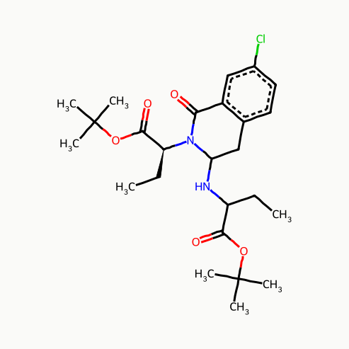 CCC(NC1Cc2ccc(Cl)cc2C(=O)N1[C@@H](CC)C(=O)OC(C)(C)C)C(=O)OC(C)(C)C